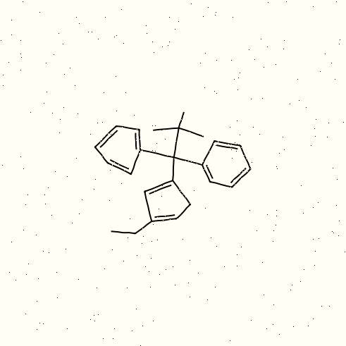 CCC1=CCC(C(c2ccccc2)(c2ccccc2)C(C)(C)C)=C1